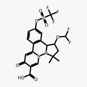 CC1(C)CC(OC(F)F)C2c3cc(OS(=O)(=O)C(F)(F)F)ccc3-c3cc(=O)c(C(=O)O)cn3N21